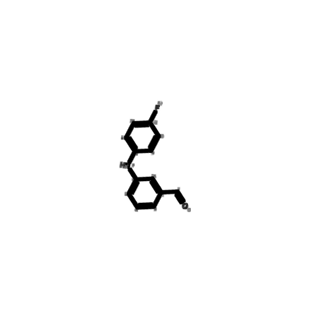 O=Cc1cccc(Nc2ccc(F)cc2)c1